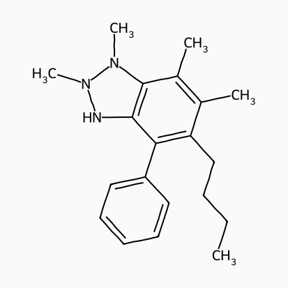 CCCCc1c(C)c(C)c2c(c1-c1ccccc1)NN(C)N2C